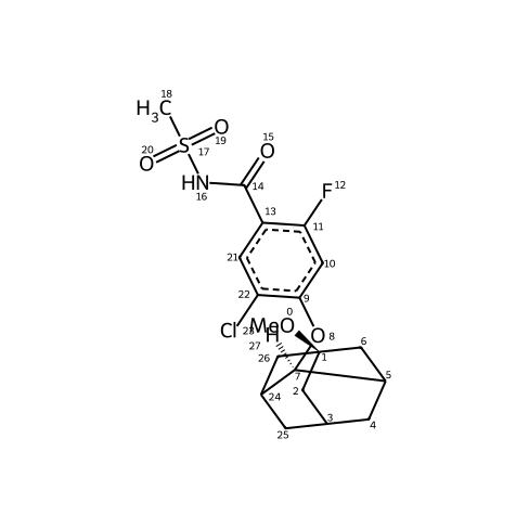 CO[C@]12CC3CC(C1)[C@H](Oc1cc(F)c(C(=O)NS(C)(=O)=O)cc1Cl)C(C3)C2